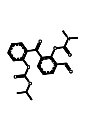 CC(C)OC(=O)Oc1ccccc1C(=O)c1cccc([C]=O)c1OC(=O)N(C)C